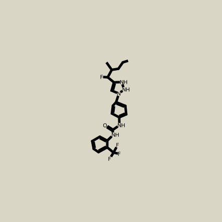 CCCC(C)C(F)C1=CN(c2ccc(NC(=O)Nc3ccccc3C(F)(F)F)cc2)NN1